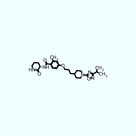 Cc1cc(OCCCC2CCN(c3nc(C(C)C)no3)CC2)ccc1C(=O)N[C@H]1CCCNC1=O